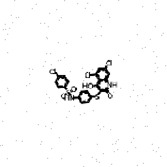 O=c1[nH]c2cc(Cl)cc(Cl)c2c(O)c1Sc1ccc(NS(=O)(=O)c2ccc(Cl)cc2)cc1